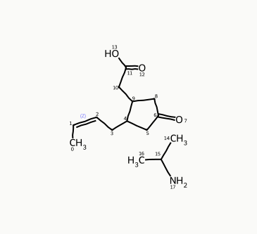 C/C=C\CC1CC(=O)CC1CC(=O)O.CC(C)N